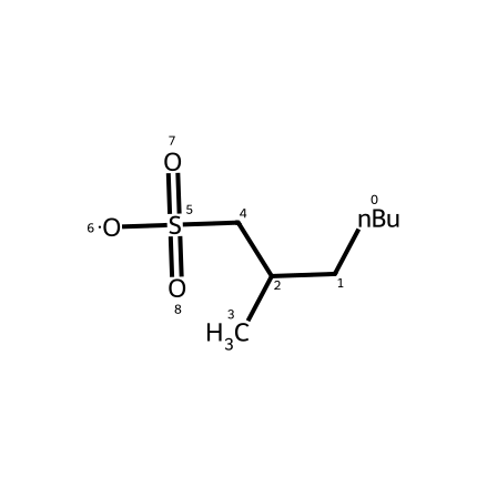 CCCCCC(C)CS([O])(=O)=O